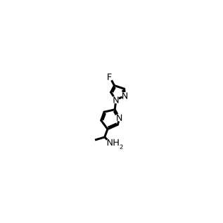 CC(N)c1ccc(-n2cc(F)cn2)nc1